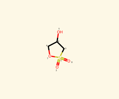 O=S1(=O)CC(O)CO1